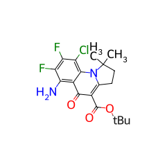 CC(C)(C)OC(=O)c1c2n(c3c(Cl)c(F)c(F)c(N)c3c1=O)C(C)(C)CC2